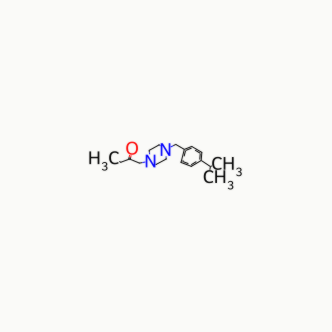 CCC(=O)CN1CCN(Cc2ccc(C(C)C)cc2)CC1